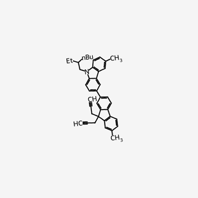 C#CCC1(CC#C)c2cc(C)ccc2-c2ccc(-c3ccc4c(c3)c3cc(C)ccc3n4CC(CC)CCCC)cc21